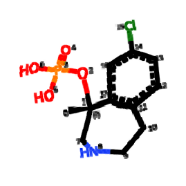 C[C@]1(OP(=O)(O)O)CNCCc2ccc(Cl)cc21